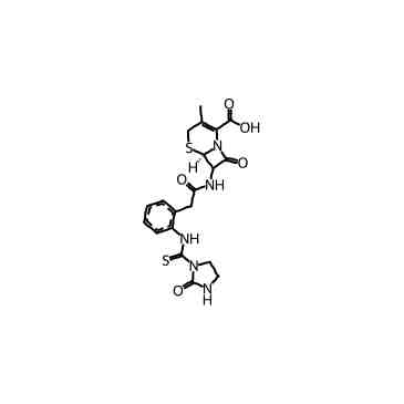 CC1=C(C(=O)O)N2C(=O)C(NC(=O)Cc3ccccc3NC(=S)N3CCNC3=O)[C@H]2SC1